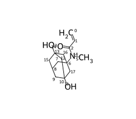 C=CC(=O)N(C)C12CC3CC(O)(CC(O)(C3)C1)C2